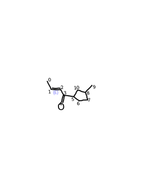 C/C=C/C(=O)C1CCC(C)C1